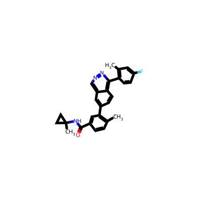 Cc1ccc(C(=O)NC2(C)CC2)cc1-c1ccc2c(-c3ccc(F)cc3C)nncc2c1